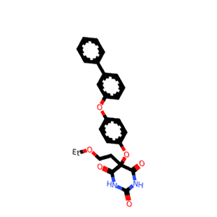 CCOCCC1(Oc2ccc(Oc3cccc(-c4ccccc4)c3)cc2)C(=O)NC(=O)NC1=O